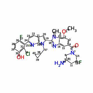 COc1cc(C(=O)N2C[C@H](N)C[C@@H](F)C2)cc2nc(-c3cc4ccc(-c5c(F)ccc(O)c5Cl)nc4n3CC3CC3)n(C)c12